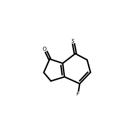 O=C1CCC2=C1C(=S)CC=C2F